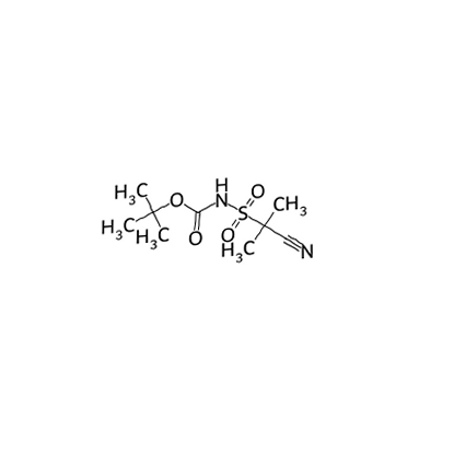 CC(C)(C)OC(=O)NS(=O)(=O)C(C)(C)C#N